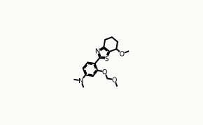 COCOc1cc(N(C)C)ccc1-c1nc2c(s1)C(OC)CCC2